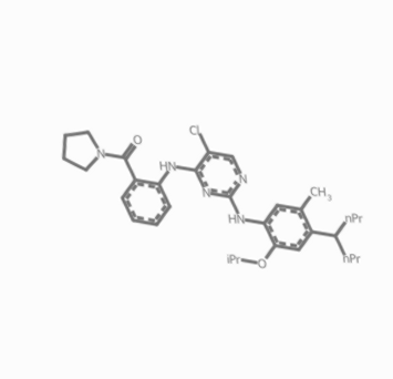 CCCC(CCC)c1cc(OC(C)C)c(Nc2ncc(Cl)c(Nc3ccccc3C(=O)N3CCCC3)n2)cc1C